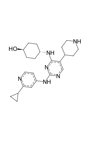 O[C@H]1CC[C@H](Nc2nc(Nc3ccnc(C4CC4)c3)ncc2C2CCNCC2)CC1